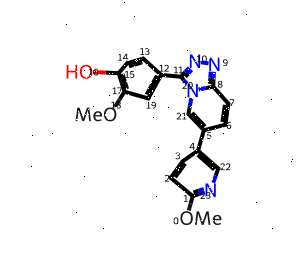 COc1ccc(-c2ccc3nnc(-c4ccc(O)c(OC)c4)n3c2)cn1